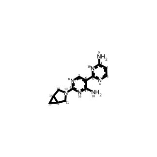 Nc1ccnc(-c2cnc(N3CC4CC4C3)nc2N)n1